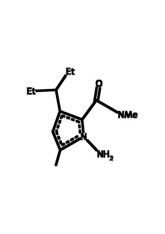 CCC(CC)c1cc(C)n(N)c1C(=O)NC